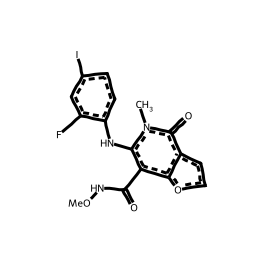 CONC(=O)c1c(Nc2ccc(I)cc2F)n(C)c(=O)c2ccoc12